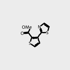 COC(=O)c1sccc1-c1nccs1